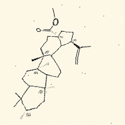 C=C(C)[C@@H]1CC[C@]2(C(=O)OC)CC[C@]3(C)C(CCC4[C@@]5(C)CC[C@H](C)C(C)(C)C5CC[C@]43C)C12